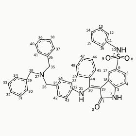 O=C1Nc2ccc(S(=O)(=O)Nc3ccccc3)cc2/C1=C(/Nc1ccc(CN(Cc2ccccc2)Cc2ccccc2)cc1)c1ccccc1